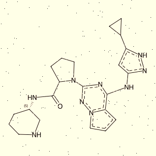 O=C(N[C@H]1CCCNC1)C1CCCN1c1nc(Nc2cc(C3CC3)[nH]n2)c2cccn2n1